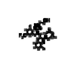 Cc1cc(CN(Cc2cc3cccc(C)c3nc2N(CC2CC2)CC2CC2)c2nnn(CCO)n2)cc(C(F)(F)F)c1